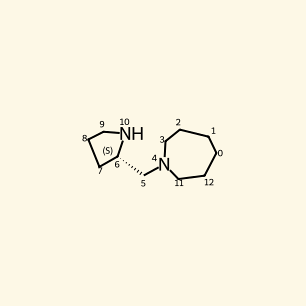 C1CCCN(C[C@@H]2CCCN2)CC1